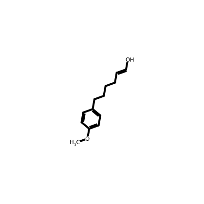 COc1ccc(CCCCC=CO)cc1